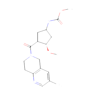 CCO[C@@H]1CC(NC(=O)OC(C)(C)C)CC1C(=O)N1CCc2ncc(C(F)(F)F)cc2C1